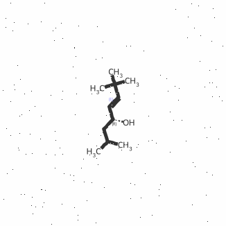 CC(C)C[C@@H](O)/C=C/C(C)(C)C